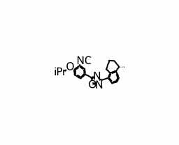 [C-]#[N+]c1cc(-c2nc(-c3cccc4c3CCC[C@@H]4C)no2)ccc1OC(C)C